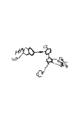 CS(=O)(=O)N1CCc2c(c(-c3ccc(Cl)c(C#Cc4ccc5c(c4)CC(CO)NC5)c3)nn2CCCN2CCOCC2)C1